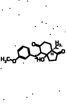 COc1cccc(SC2C(=O)CC[C@@]3(C)C(=O)CCC23O)c1